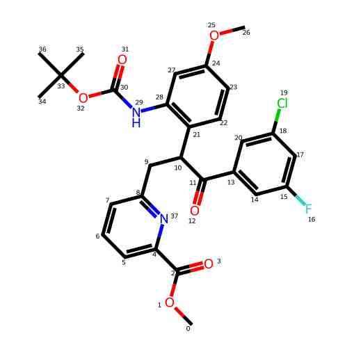 COC(=O)c1cccc(CC(C(=O)c2cc(F)cc(Cl)c2)c2ccc(OC)cc2NC(=O)OC(C)(C)C)n1